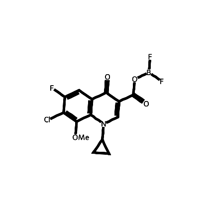 COc1c(Cl)c(F)cc2c(=O)c(C(=O)OB(F)F)cn(C3CC3)c12